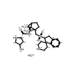 CC1(C)C2CCC1(CS(=O)(=O)C1Cc3ccccc3C13CCNCC3)C(NC(=O)[C@@H]1CC(O)CN1)C2.Cl